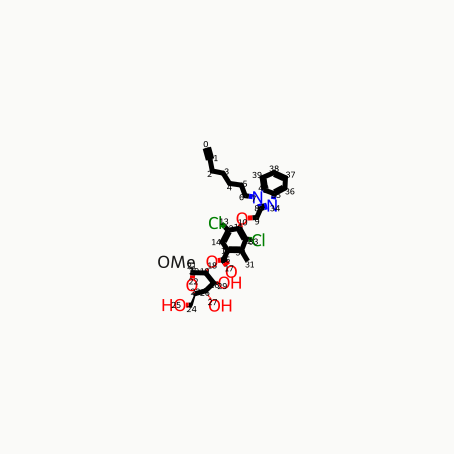 C#CCCCCCn1c(COc2c(Cl)cc(C(=O)O[C@H]3[C@@H](OC)O[C@H](CO)[C@@H](O)[C@@H]3O)c(C)c2Cl)nc2ccccc21